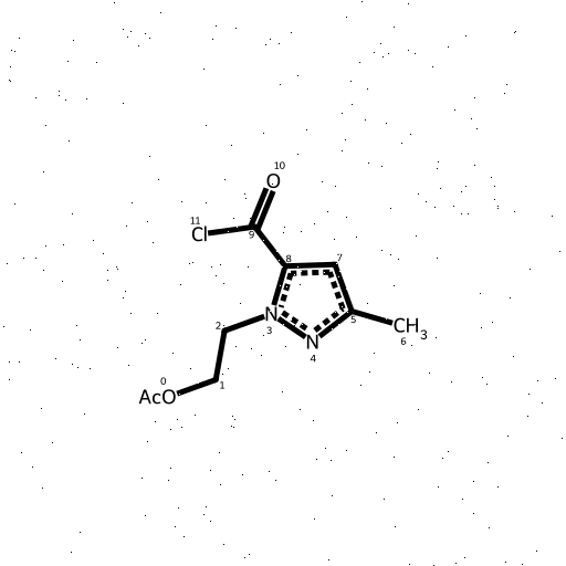 CC(=O)OCCn1nc(C)cc1C(=O)Cl